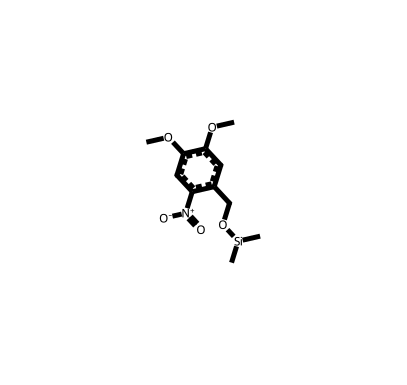 COc1cc(CO[Si](C)C)c([N+](=O)[O-])cc1OC